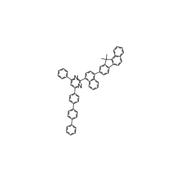 CC1(C)c2cc(-c3ccc(-c4nc(-c5ccccc5)cc(-c5ccc(-c6ccc(-c7ccccc7)cc6)cc5)n4)c4ccccc34)ccc2-c2ccc3ccccc3c21